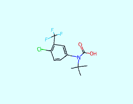 CC(C)(C)N(C(=O)O)c1ccc(Cl)c(C(F)(F)F)c1